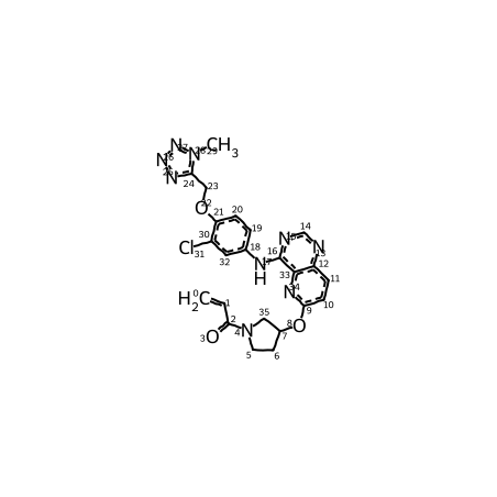 C=CC(=O)N1CCC(Oc2ccc3ncnc(Nc4ccc(OCc5nnnn5C)c(Cl)c4)c3n2)C1